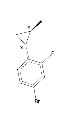 C[C@@H]1C[C@H]1c1ccc(Br)cc1F